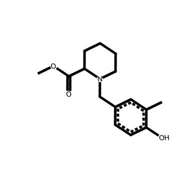 COC(=O)C1CCCCN1Cc1ccc(O)c(C)c1